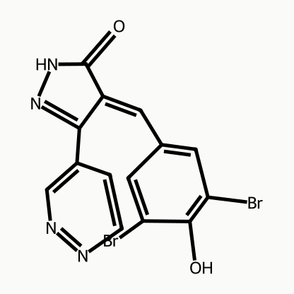 O=C1NN=C(c2ccnnc2)/C1=C\c1cc(Br)c(O)c(Br)c1